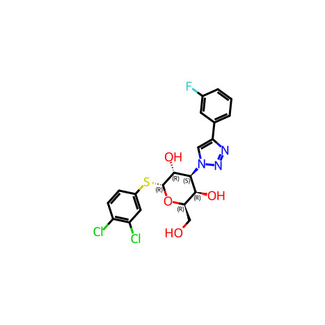 OC[C@H]1O[C@H](Sc2ccc(Cl)c(Cl)c2)[C@H](O)[C@@H](n2cc(-c3cccc(F)c3)nn2)[C@H]1O